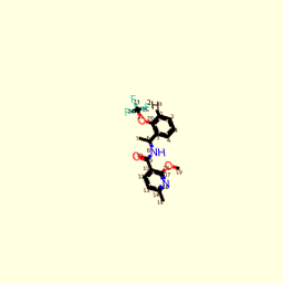 [2H]c1cccc(C(C)NC(=O)c2ccc(C)nc2OC)c1OC(F)(F)F